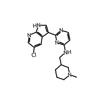 CN1CCCC(CNc2ccnc(-c3c[nH]c4ncc(Cl)cc34)n2)C1